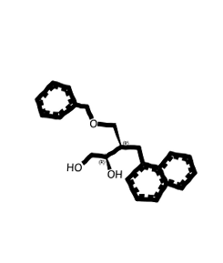 OC[C@H](O)[C@@H](COCc1ccccc1)Cc1cccc2ccccc12